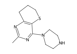 Cc1nc2c(c(N3CCNCC3)n1)SCCC2